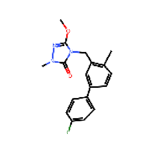 COc1nn(C)c(=O)n1Cc1cc(-c2ccc(Cl)cc2)ccc1C